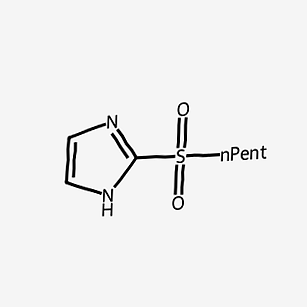 CCCCCS(=O)(=O)c1ncc[nH]1